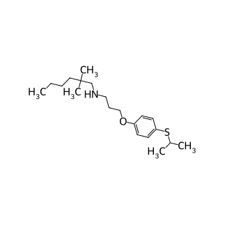 CCCCC(C)(C)CNCCCOc1ccc(SC(C)C)cc1